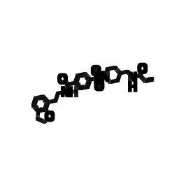 C=CC(=O)NCC1CCN(S(=O)(=O)c2ccc(C(=O)NCCc3cccc4c3OCC4)cc2)CC1